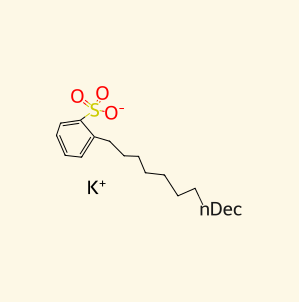 CCCCCCCCCCCCCCCCCc1ccccc1S(=O)(=O)[O-].[K+]